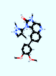 COc1ccc(-c2ccc3ncc4c(c3c2)n(-c2c(C)cnn2C)c(=O)n4C)cc1OC